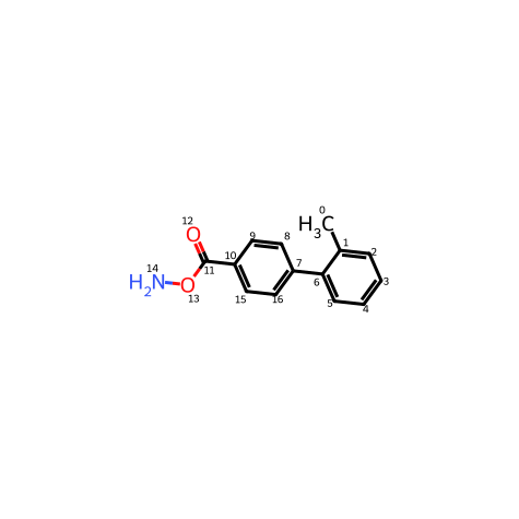 Cc1ccccc1-c1ccc(C(=O)ON)cc1